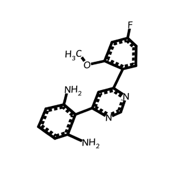 COc1cc(F)ccc1-c1cc(-c2c(N)cccc2N)ncn1